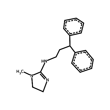 CN1CCN=C1NCCC(c1ccccc1)c1ccccc1